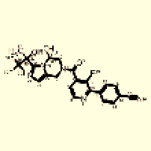 C[C@H]1CN(C(=O)c2ccnc(-c3ccc(C#N)cc3)c2F)Cc2cnc([C@@](C)(O)C(F)(F)F)n21